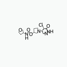 O=C(NC1CCOC1)OC1CCN(c2cn[nH]c(=O)c2Cl)C1